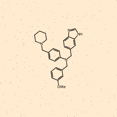 COc1cccc(CN(Cc2ccc3nc[nH]c3c2)c2ccc(CN3CCCCC3)cc2)c1